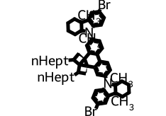 CCCCCCCC1C[C@@]23c4cc(N5c6ccc(Br)cc6C6(C)CCCCC56C)ccc4-c4ccc(N5c6ccc(Br)cc6C6(C)CCCCC56C)cc4[C@]24CC(CCCCCCC)C134